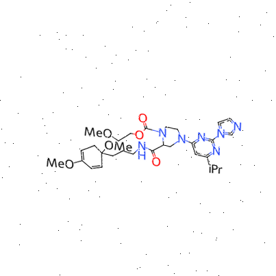 COCCOC(=O)N1CCN(c2cc(C(C)C)nc(-n3ccnc3)n2)CC1C(=O)NCCCC1(OC)C=CC(OC)=CC1